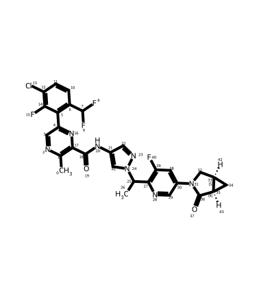 Cc1ncc(-c2c(C(F)F)ccc(Cl)c2F)nc1C(=O)Nc1cnn(C(C)c2ncc(N3C[C@H]4C[C@H]4C3=O)cc2F)c1